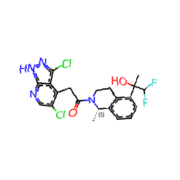 C[C@H]1c2cccc(C(C)(O)C(F)F)c2CCN1C(=O)Cc1c(Cl)cnc2[nH]nc(Cl)c12